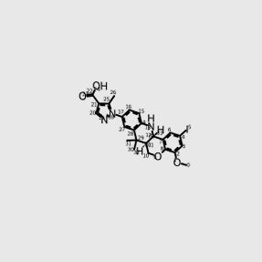 COc1cc(I)cc2c1OC[C@@H]1[C@@H]2Nc2ccc(-n3ncc(C(=O)O)c3C)cc2C1(C)C